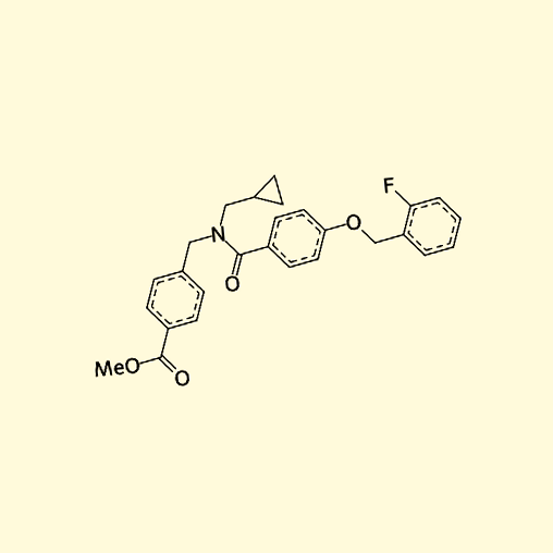 COC(=O)c1ccc(CN(CC2CC2)C(=O)c2ccc(OCc3ccccc3F)cc2)cc1